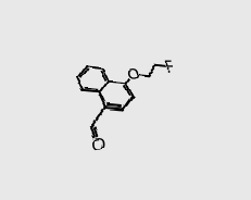 O=Cc1ccc(OCCF)c2ccccc12